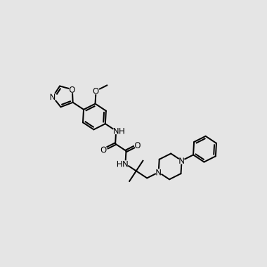 COc1cc(NC(=O)C(=O)NC(C)(C)CN2CCN(c3ccccc3)CC2)ccc1-c1cnco1